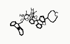 C[C@H](NC(=O)OCC1c2ccccc2-c2ccccc21)C(=O)N[C@@H](C)C(=O)OC(c1ccccc1)(c1ccc(C2CCCCCCCC2)cc1)c1ccccc1Cl